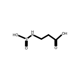 O=C(O)CCNS(=O)O